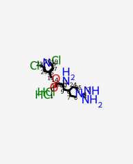 Cl.Cl.N=C(N)N1CCC(C[C@H](N)C(=O)OCc2cc(Cl)nc(Cl)c2)CC1